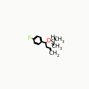 C=CCC(O[SiH](C)C)c1ccc(F)cc1